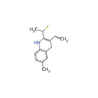 C=CC1=C(C(C)F)Nc2ccc(C)cc2C1